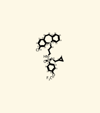 O=[S@](=NCC1CC1)(NCCCN1c2ccccc2CCc2ccc(Cl)cc21)c1ccc(OC(F)(F)F)cc1